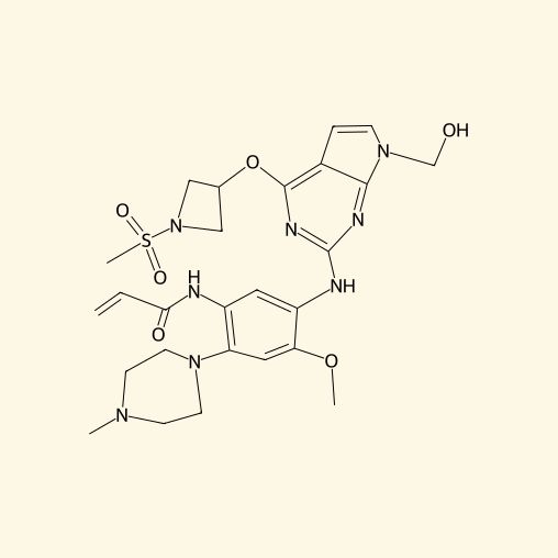 C=CC(=O)Nc1cc(Nc2nc(OC3CN(S(C)(=O)=O)C3)c3ccn(CO)c3n2)c(OC)cc1N1CCN(C)CC1